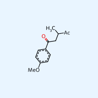 COc1ccc(C(=O)CC(C)C(C)=O)cc1